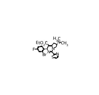 CCOC(=O)C1=C2C[C@H](N(C)C)CN2C(c2nccs2)=N[C@H]1c1ccc(F)cc1Br